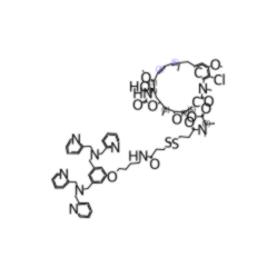 COc1cc2cc(c1Cl)N(C)C(=O)C[C@H](OC(=O)[C@@H](C)N(C)C(=O)CCSSCCC(=O)NCCCCOc1cc(CN(Cc3ccccn3)Cc3ccccn3)cc(CN(Cc3ccccn3)Cc3ccccn3)c1)[C@@]1(C)OC1[C@@H](C)C1C[C@](O)(NC(=O)O1)[C@@H](OC)/C=C\C=C(/C)C2